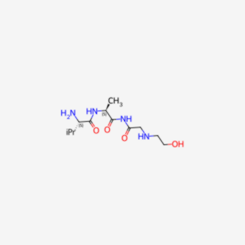 CC(C)[C@H](N)C(=O)N[C@@H](C)C(=O)NC(=O)CNCCO